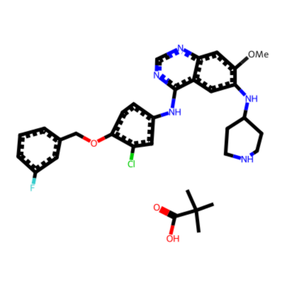 CC(C)(C)C(=O)O.COc1cc2ncnc(Nc3ccc(OCc4cccc(F)c4)c(Cl)c3)c2cc1NC1CCNCC1